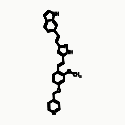 COc1cc(OCc2ccncc2)ccc1C=Cc1cc(C=Cc2ccc3cc[nH]c3c2)n[nH]1